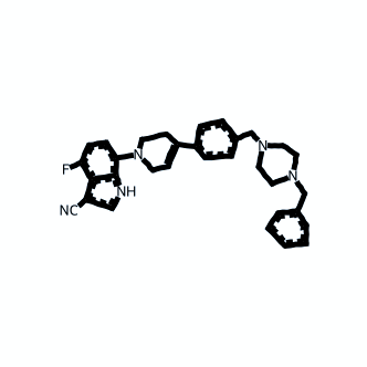 N#Cc1c[nH]c2c(N3CC=C(c4ccc(CN5CCN(Cc6ccccc6)CC5)cc4)CC3)ccc(F)c12